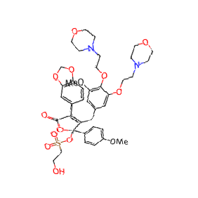 COc1ccc(C2(OS(=O)(=O)CCO)OC(=O)C(c3ccc4c(c3)OCO4)=C2Cc2cc(OC)c(OCCN3CCOCC3)c(OCCN3CCOCC3)c2)cc1